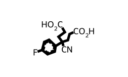 N#CC(CCC(=O)O)(CCC(=O)O)c1ccc(F)cc1